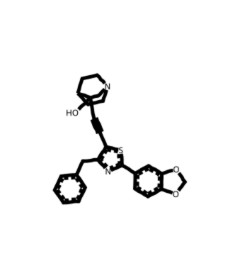 OC1(C#Cc2sc(-c3ccc4c(c3)OCO4)nc2Cc2ccccc2)CN2CCC1CC2